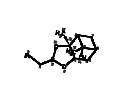 CC(C)CB1OC2CC3CC(C3(C)C)[C@]2(C)O1